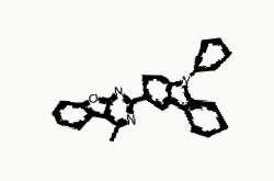 Cc1nc(-c2ccc3c(c2)c2ccccc2n3-c2ccccc2)nc2oc3ccccc3c12